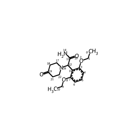 CCOc1cccc(OCC)c1C(C(N)=O)N1CCC(=O)CC1